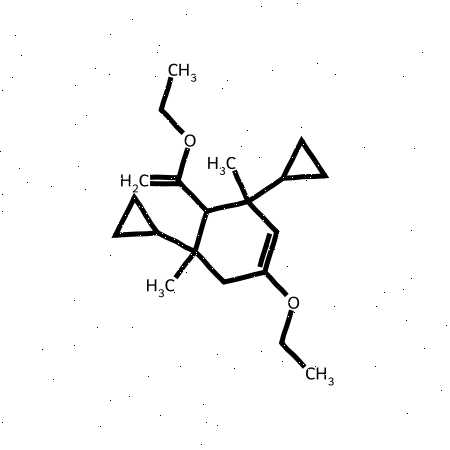 C=C(OCC)C1C(C)(C2CC2)C=C(OCC)CC1(C)C1CC1